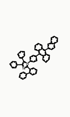 c1ccc(-c2ccccc2-c2nc(-c3ccccc3)c(-c3ccccc3)n2-c2ccc(-c3c4ccccc4c(-c4ccc5ccccc5c4)c4ccccc34)cc2)cc1